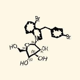 OC[C@H]1O[C@@H](n2cc(Cc3ccc(Br)cc3)c3c(Br)cccc32)[C@H](O)[C@@H](O)[C@@H]1O